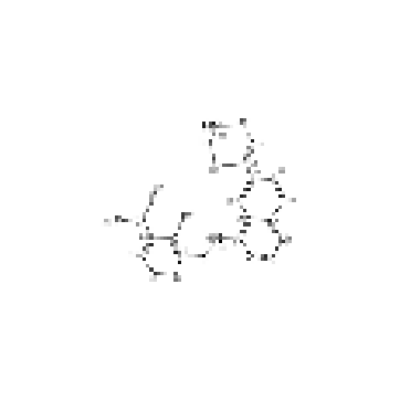 Fc1c(CNc2ccnc3cnc(C4=CCNCC4)cc23)cccc1C(F)F